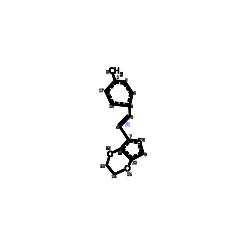 Cc1ccc(/C=C/c2scc3c2OCCO3)cc1